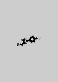 [C-]#[N+]c1ccc(-c2nc(CBr)co2)cc1